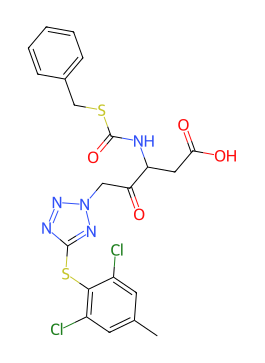 Cc1cc(Cl)c(Sc2nnn(CC(=O)C(CC(=O)O)NC(=O)SCc3ccccc3)n2)c(Cl)c1